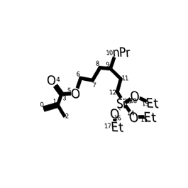 C=C(C)C(=O)OCCCC(CCC)CC[Si](OCC)(OCC)OCC